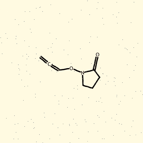 C=C=CON1CCCC1=O